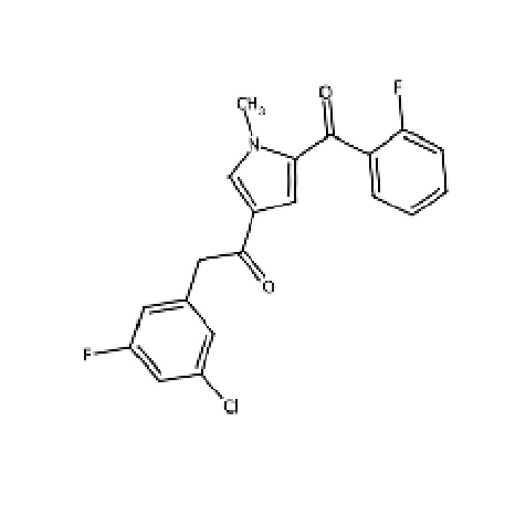 Cn1cc(C(=O)Cc2cc(F)cc(Cl)c2)cc1C(=O)c1ccccc1F